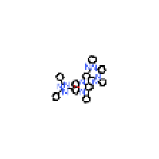 c1ccc(-c2nc(-c3ccccc3)nc(-c3ccc(-n4c5ccccc5c5ccc6c7c8c(ccc7n(-c7ccccc7)c6c54)c4nc5ccccc5n4c4ccccc4n4c5ccccc5nc84)cc3)n2)cc1